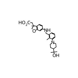 Cc1c(CNc2ccc3c(c2)OC[C@H]3CC(=O)O)cccc1N1CCC(C(C)(C)O)CC1